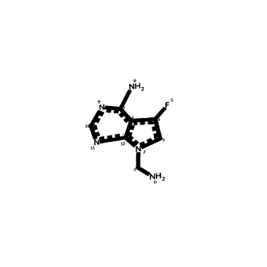 NCn1cc(F)c2c(N)ncnc21